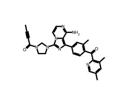 CC#CC(=O)N1CCN(c2nc(-c3ccc(C(=O)c4ncc(C)cc4C)c(C)c3)c3c(N)nccn23)C1